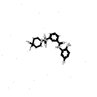 O=C(Nc1cc(Cl)ccc1O)c1cccc(S(=O)(=O)N2CCC(F)(F)CC2)c1